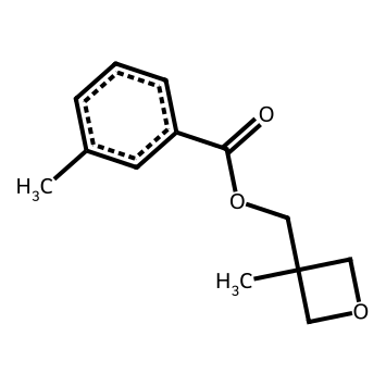 Cc1cccc(C(=O)OCC2(C)COC2)c1